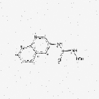 CCCCNC(=O)Nc1cnc2ccccc2c1